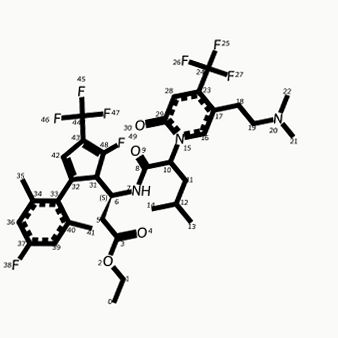 CCOC(=O)C[C@H](NC(=O)C(CC(C)C)n1cc(CCN(C)C)c(C(F)(F)F)cc1=O)C1C(c2c(C)cc(F)cc2C)=CC(C(F)(F)F)=C1F